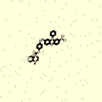 CCN(CC)c1ccc2nc3ccc(/N=N\c4ccc(OC(=O)N5CCN(C)C6CSSC[C@@H]65)cc4)cc3[n+](-c3ccccc3)c2c1